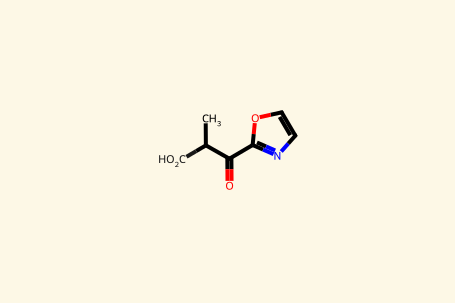 CC(C(=O)O)C(=O)c1ncco1